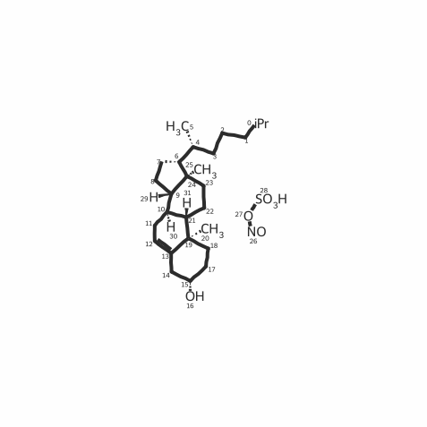 CC(C)CCC[C@@H](C)[C@H]1CC[C@H]2[C@@H]3CC=C4C[C@@H](O)CC[C@]4(C)[C@H]3CC[C@]12C.O=NOS(=O)(=O)O